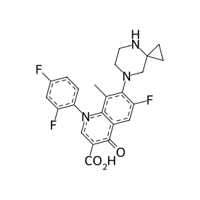 Cc1c(N2CCNC3(CC3)C2)c(F)cc2c(=O)c(C(=O)O)cn(-c3ccc(F)cc3F)c12